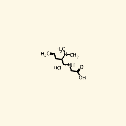 C=CCC(CNCC(=O)O)N(C)C.Cl